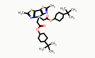 Cc1nc2c(s1)-c1sc(C)nc1[Si]2(CC(=O)OC1CCC(C(C)(C)C)CC1)CC(=O)OC1CCC(C(C)(C)C)CC1